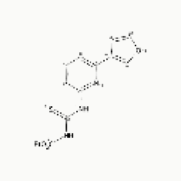 CCOC(=O)NC(=S)Nc1cccc(-c2ccoc2)n1